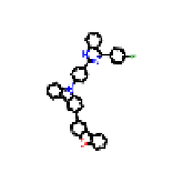 Fc1ccc(-c2nc(-c3ccc(-n4c5ccccc5c5cc(-c6ccc7oc8ccccc8c7c6)ccc54)cc3)nc3ccccc23)cc1